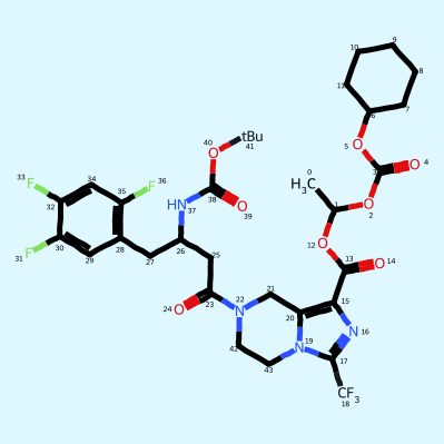 CC(OC(=O)OC1CCCCC1)OC(=O)c1nc(C(F)(F)F)n2c1CN(C(=O)CC(Cc1cc(F)c(F)cc1F)NC(=O)OC(C)(C)C)CC2